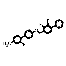 Cc1ccc(-c2ccc(OCc3ccc(-c4ccccc4)c(F)c3F)cc2)c(F)c1